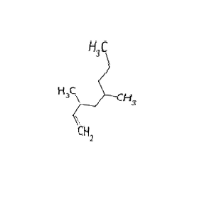 C=CC(C)CC(C)CCC